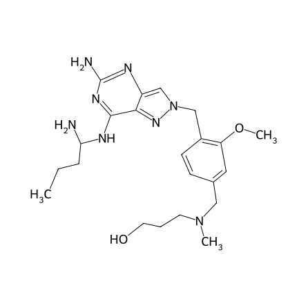 CCCC(N)Nc1nc(N)nc2cn(Cc3ccc(CN(C)CCCO)cc3OC)nc12